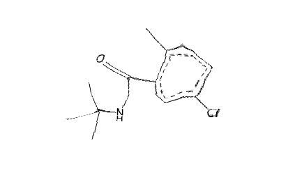 Cc1ccc(Cl)cc1C(=O)NC(C)(C)C